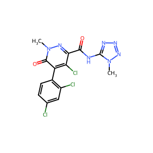 Cn1nnnc1NC(=O)c1nn(C)c(=O)c(-c2ccc(Cl)cc2Cl)c1Cl